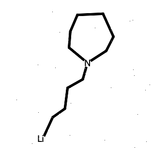 [Li][CH2]CCCN1CCCCCC1